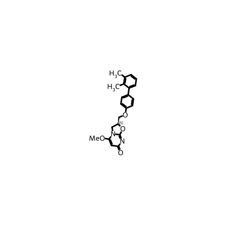 COc1cc(=O)nc2n1C[C@@H](COc1ccc(-c3cccc(C)c3C)cc1)O2